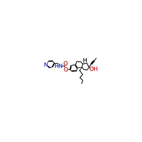 CC#C[C@@]1(O)CC[C@]2(CCCCC)c3ccc(OC(=O)NCc4ccncc4)cc3CC[C@H]2C1